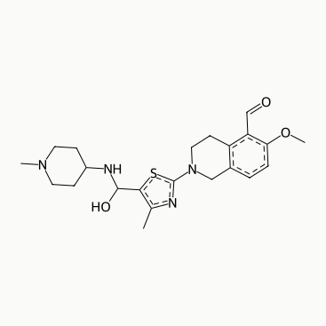 COc1ccc2c(c1C=O)CCN(c1nc(C)c(C(O)NC3CCN(C)CC3)s1)C2